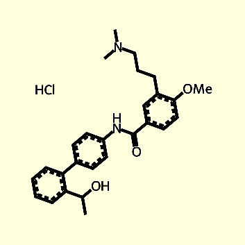 COc1ccc(C(=O)Nc2ccc(-c3ccccc3C(C)O)cc2)cc1CCCN(C)C.Cl